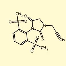 C#CCN1CC(=O)N(c2c(S(C)(=O)=O)cccc2S(C)(=O)=O)C1=S